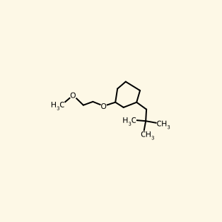 COCCOC1CCCC(CC(C)(C)C)C1